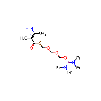 C/C(N)=C(/C)C(=O)SCOCOCOP(N(C(C)C)C(C)C)N(C(C)C)C(C)C